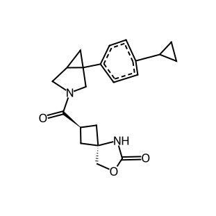 O=C1N[C@]2(CO1)C[C@H](C(=O)N1CC3CC3(c3ccc(C4CC4)cc3)C1)C2